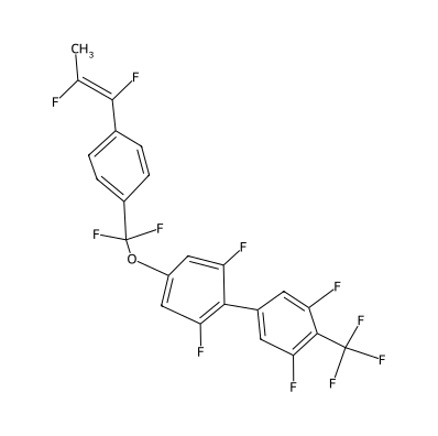 C/C(F)=C(\F)c1ccc(C(F)(F)Oc2cc(F)c(-c3cc(F)c(C(F)(F)F)c(F)c3)c(F)c2)cc1